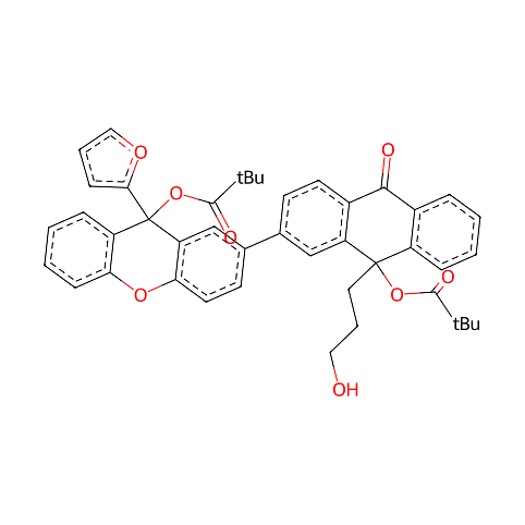 CC(C)(C)C(=O)OC1(CCCO)c2ccccc2C(=O)c2ccc(-c3ccc4c(c3)C(OC(=O)C(C)(C)C)(c3ccco3)c3ccccc3O4)cc21